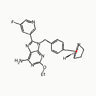 CCOc1nc(N)c2nc(-c3cncc(F)c3)n(Cc3ccc([C@H]4CN5CCC4CC5)cc3)c2n1